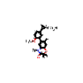 Cc1cc2c(cc1-c1cc(C3CC3C(=O)O)ccc1OC(F)(F)F)N(C(C)C)C(=O)C(C)(C)O2